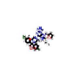 CC[C@@H]1CN(c2nc3nncn3c3c2nc(C)n3C[C@@H]2CCCO2)[C@@H](C)CN1C(CO)(c1ccc(F)cc1)c1ccc(F)cc1